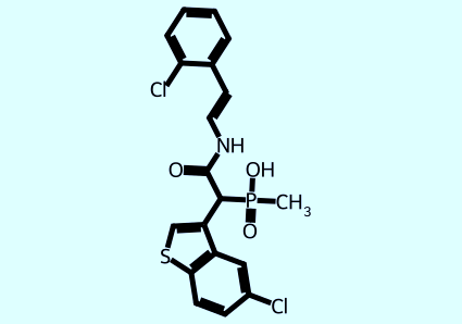 CP(=O)(O)C(C(=O)N/C=C/c1ccccc1Cl)c1csc2ccc(Cl)cc12